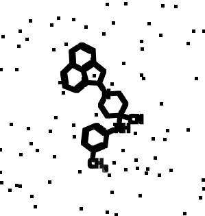 Cc1cccc(NC2(C#N)CCN(C3Cc4cccc5cccc3c45)CC2)c1